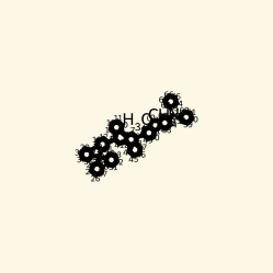 CC1(C)c2cc(-c3cc4c5ccccc5c(-c5ccc6c(c5)C(c5ccccc5)(c5ccccc5)c5ccccc5-6)cc4c4ccccc34)ccc2-c2ccc(N(c3ccccc3)c3ccccc3)cc21